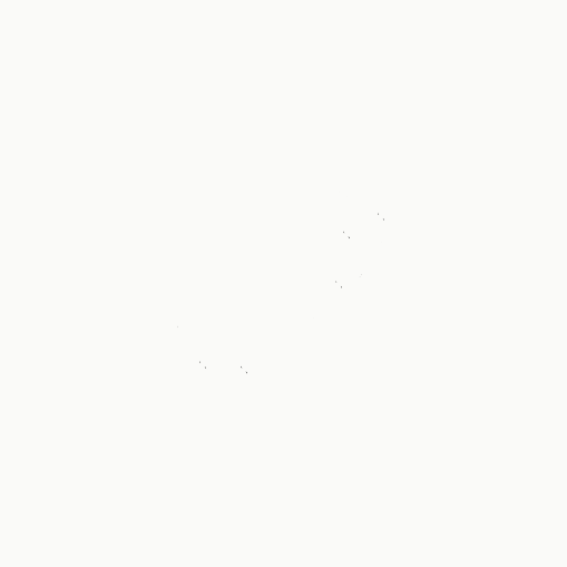 C[C@@H](NC(=O)c1nc(C(C)(C)C)no1)c1ccc(-c2cc(Cl)ncn2)cc1F